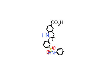 CC1(C)Cc2cc(C(=O)O)ccc2NC1c1cccc(S(=O)(=O)Nc2ccccc2)c1